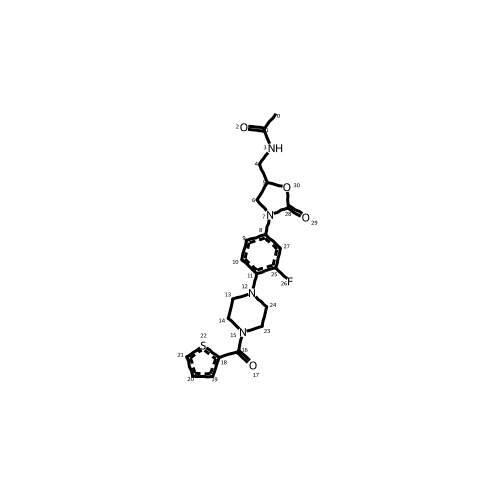 CC(=O)NCC1CN(c2ccc(N3CCN(C(=O)c4cccs4)CC3)c(F)c2)C(=O)O1